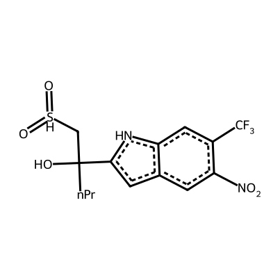 CCCC(O)(C[SH](=O)=O)c1cc2cc([N+](=O)[O-])c(C(F)(F)F)cc2[nH]1